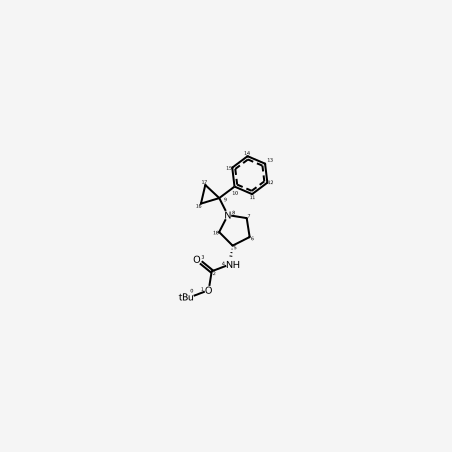 CC(C)(C)OC(=O)N[C@H]1CCN(C2(c3ccccc3)CC2)C1